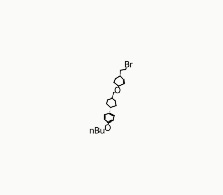 CCCCOc1ccc([C@H]2CC[C@H](CO[C@H]3CC[C@H](CCBr)CC3)CC2)cc1